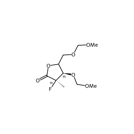 COCOCC1OC(=O)[C@](C)(F)[C@@H]1OCOC